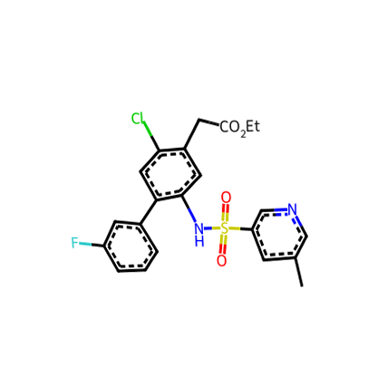 CCOC(=O)Cc1cc(NS(=O)(=O)c2cncc(C)c2)c(-c2cccc(F)c2)cc1Cl